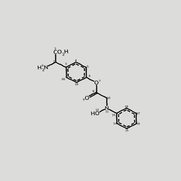 NC(C(=O)O)c1ccc(OC(=O)CN(O)c2ccccc2)cc1